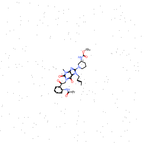 C/C=C/Cn1c(N2CCC[C@H](NC(=O)OC(C)(C)C)C2)nc2c1c(=O)n(CC(=O)c1ccccc1NC(=O)C(C)C)c(=O)n2C